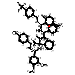 CNC(=O)[C@](N[C@H](CCc1ccc(Cl)cc1)c1ccc(OC)c(OC)c1)(c1ccccc1)N(C)C(=O)[C@H](N[C@@H](CCc1ccc(C(F)(F)F)cc1)c1cc(C)ccc1F)c1ccc(F)cc1